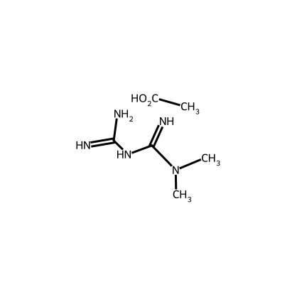 CC(=O)O.CN(C)C(=N)NC(=N)N